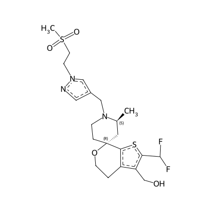 C[C@H]1C[C@@]2(CCN1Cc1cnn(CCS(C)(=O)=O)c1)OCCc1c2sc(C(F)F)c1CO